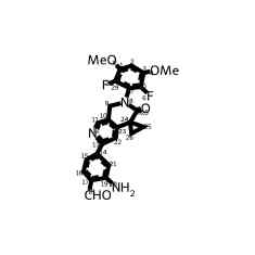 COc1cc(OC)c(F)c(N2Cc3cnc(-c4ccc(C=O)c(N)c4)cc3C3(CC3)C2=O)c1F